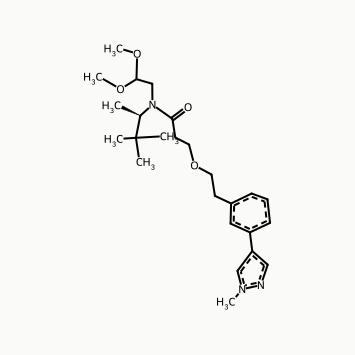 COC(CN(C(=O)CCOCCc1cccc(-c2cnn(C)c2)c1)[C@H](C)C(C)(C)C)OC